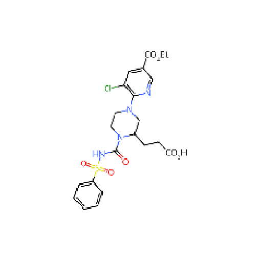 CCOC(=O)c1cnc(N2CCN(C(=O)NS(=O)(=O)c3ccccc3)C(CCC(=O)O)C2)c(Cl)c1